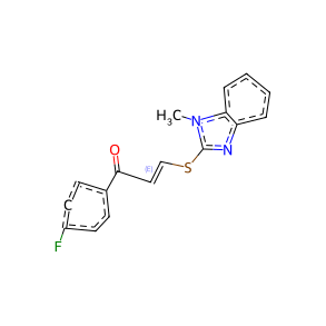 Cn1c(S/C=C/C(=O)c2ccc(F)cc2)nc2ccccc21